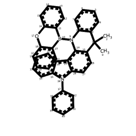 CC1(C)c2ccccc2N(B2c3ccccc3Oc3ccccc32)c2c1ccc1c2c2ccccc2n1-c1ccccc1